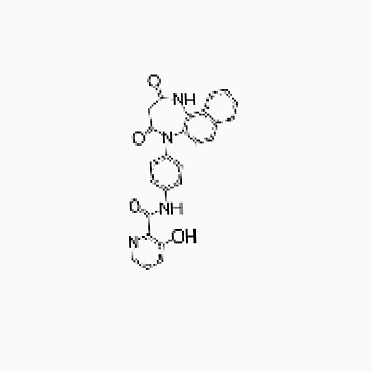 O=C1CC(=O)N(c2ccc(NC(=O)c3ncccc3O)cc2)c2ccc3ccccc3c2N1